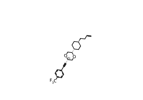 C=CCC[C@H]1CC[C@H](C2CO[C@@H](C#Cc3ccc(C(F)(F)F)cc3)CO2)CC1